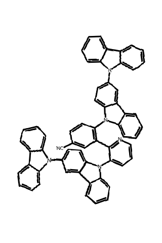 N#Cc1ccc(-n2c3ccccc3c3cc(-n4c5ccccc5c5ccccc54)ccc32)c(-c2ncccc2-n2c3ccccc3c3cc(-n4c5ccccc5c5ccccc54)ccc32)c1